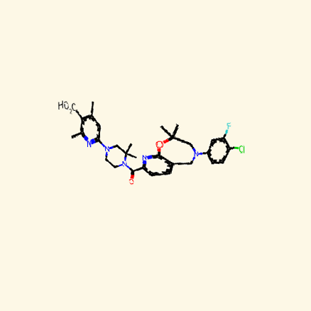 Cc1cc(N2CCN(C(=O)c3ccc4c(n3)OC(C)(C)CN(c3ccc(Cl)c(F)c3)C4)C(C)(C)C2)nc(C)c1C(=O)O